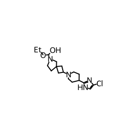 CCOC(O)N1CCC2(CC(N3CCC(c4nc(Cl)c[nH]4)CC3)C2)C1